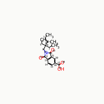 CC[C@H](C)C(CC)(CC)CN1C(=O)c2ccc(C(=O)O)cc2C1=O